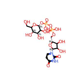 O=c1ccn([C@@H]2O[C@H](COP(=O)(O)OP(=O)(O)O[C@H]3OC(CO)[C@H](O)[C@H](O)C3O)C(O)C2O)c(=O)[nH]1